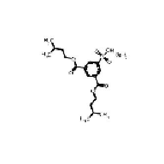 CC(C)CCOC(=O)c1cc(C(=O)OCCC(C)C)cc(S(=O)(=O)O)c1.[BaH2]